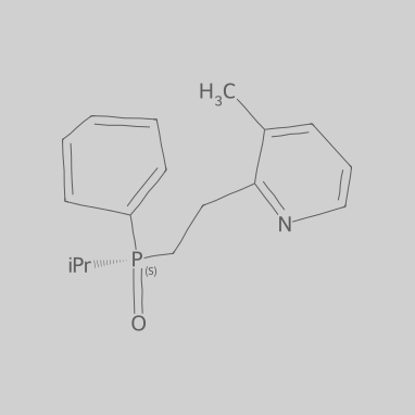 Cc1cccnc1CC[P@@](=O)(c1ccccc1)C(C)C